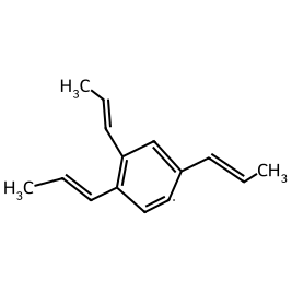 CC=Cc1[c]cc(C=CC)c(C=CC)c1